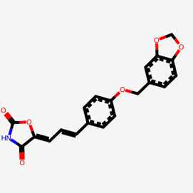 O=C1NC(=O)C(=CC=Cc2ccc(OCc3ccc4c(c3)OCO4)cc2)O1